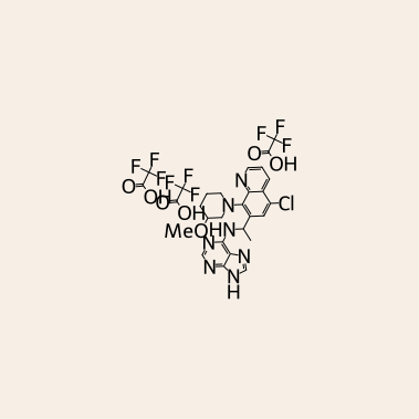 COC1CCCN(c2c(C(C)Nc3ncnc4[nH]cnc34)cc(Cl)c3cccnc23)C1.O=C(O)C(F)(F)F.O=C(O)C(F)(F)F.O=C(O)C(F)(F)F